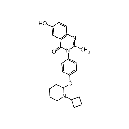 Cc1nc2ccc(O)cc2c(=O)n1-c1ccc(OC2CCCCN2C2CCC2)cc1